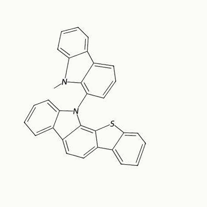 Cn1c2ccccc2c2cccc(-n3c4ccccc4c4ccc5c6ccccc6sc5c43)c21